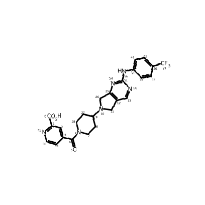 O=C(O)c1cc(C(=O)N2CCC(N3Cc4cnc(Nc5ccc(C(F)(F)F)cc5)nc4C3)CC2)ccn1